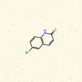 S=c1ccc2cc(Br)ccc2[nH]1